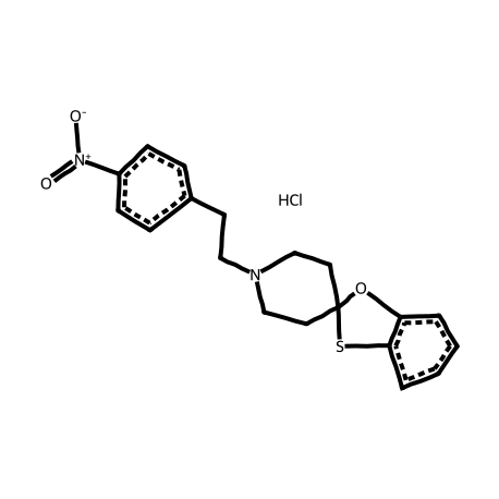 Cl.O=[N+]([O-])c1ccc(CCN2CCC3(CC2)Oc2ccccc2S3)cc1